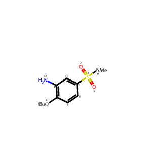 CNS(=O)(=O)c1ccc(OCC(C)C)c(N)c1